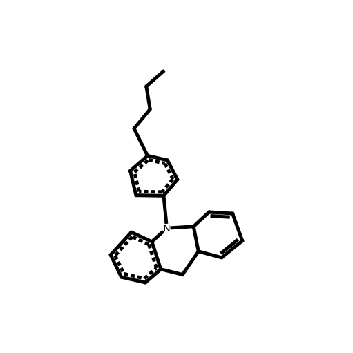 CCCCc1ccc(N2c3ccccc3CC3C=CC=CC32)cc1